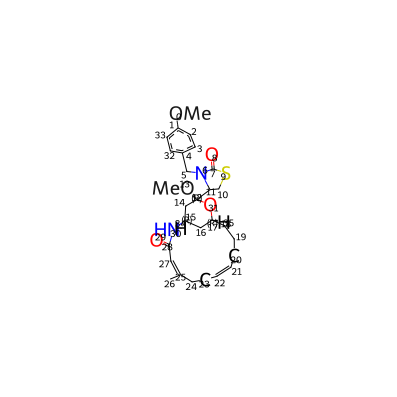 COc1ccc(CN2C(=O)SCC2[C@@]2(OC)C[C@H]3C[C@@H](CCCC=CCCC(C)=CC(=O)N3)O2)cc1